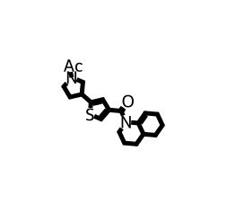 CC(=O)N1CCC(c2cc(C(=O)N3CCCC4CCCC=C43)cs2)C1